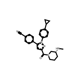 CN[C@@H]1CCCN(C(=O)c2cc(-c3ccc(C#N)cc3)n(-c3ccc(C4CC4)cc3)n2)C1